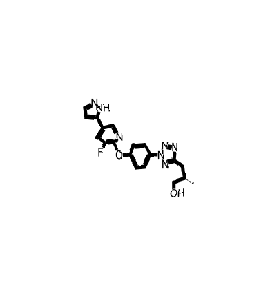 C[C@H](CO)Cc1nnn(-c2ccc(Oc3ncc(-c4ccn[nH]4)cc3F)cc2)n1